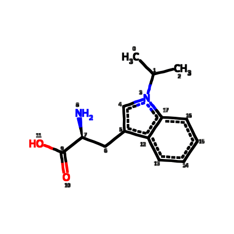 CC(C)n1cc(C[C@H](N)C(=O)O)c2ccccc21